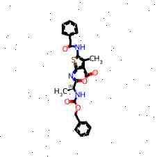 Cc1c(NC(=O)c2ccccc2)sc2nc([C@H](C)NC(=O)OCc3ccccc3)oc(=O)c12